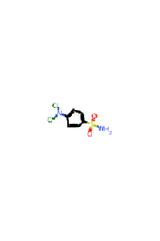 NS(=O)(=O)c1ccc(N(Cl)Cl)cc1